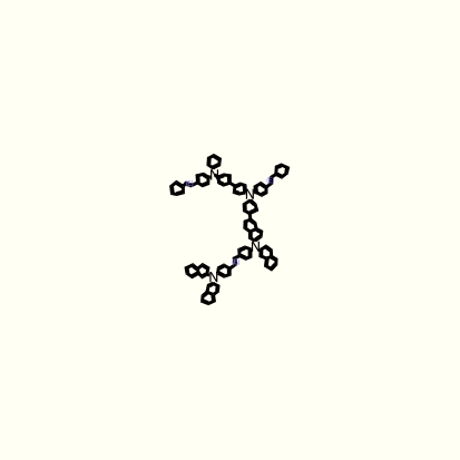 C(=C\c1ccc(N(c2ccccc2)c2ccc(-c3ccc(N(c4ccc(/C=C/c5ccccc5)cc4)c4ccc(-c5ccc6cc(N(c7ccc(/C=C/c8ccc(N(c9ccc%10ccccc%10c9)c9ccc%10ccccc%10c9)cc8)cc7)c7ccc8ccccc8c7)ccc6c5)cc4)cc3)cc2)cc1)/c1ccccc1